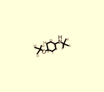 CC(C)(C)NC1CCC(OC(C)(C)C)CC1